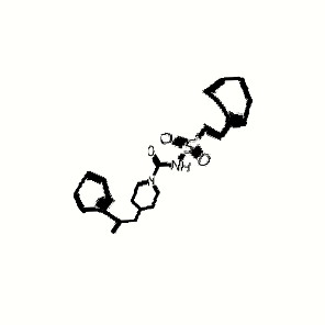 CC(CC1CCN(C(=O)NS(=O)(=O)/C=C/c2ccccc2)CC1)c1ccccc1